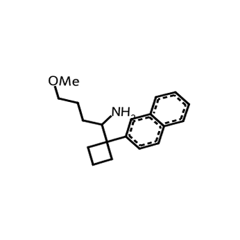 COCCCC(N)C1(c2ccc3ccccc3c2)CCC1